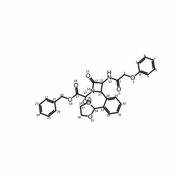 O=C(COc1ccccc1)NC1C(=O)N(C(O)C(=O)OCc2ccccc2)C1c1ccccc1C1OCCO1